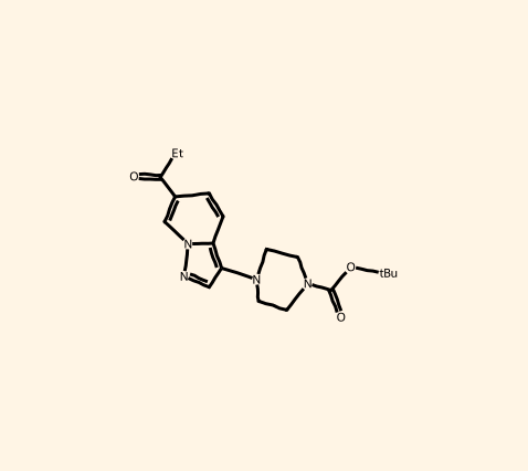 CCC(=O)c1ccc2c(N3CCN(C(=O)OC(C)(C)C)CC3)cnn2c1